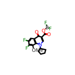 COc1c(F)c(F)cc2c(=O)c(C(=O)OB(F)F)cn(C3CCCC3)c12